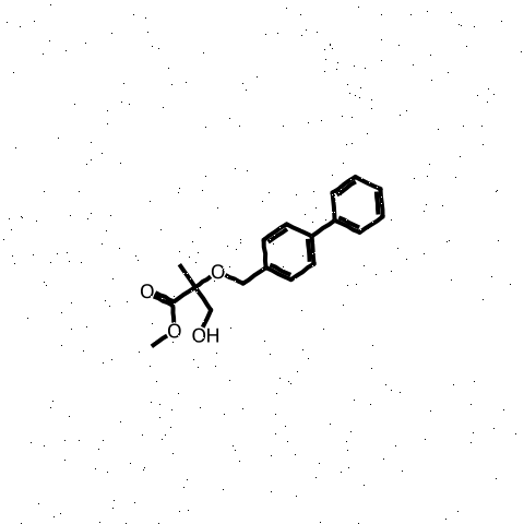 COC(=O)C(C)(CO)OCc1ccc(-c2ccccc2)cc1